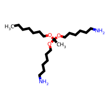 CCCCCCCOC(C)(OCCCCCCN)OCCCCCCN